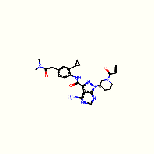 C=CC(=O)N1CCC[C@@H](n2nc(C(=O)Nc3ccc(CC(=O)N(C)C)cc3C3CC3)c3c(N)ncnc32)C1